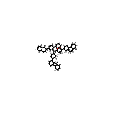 c1ccc(-c2ccc(-c3ccc4ccccc4c3)cc2N(c2ccc(-c3ccc4c(ccc5ccccc54)c3)cc2)c2ccc(-c3cccc4c3oc3ccccc34)cc2)cc1